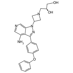 Nc1cncc2c1c(-c1ccc(Oc3ccccc3)cc1)nn2C1CN(C[C@H](O)CO)C1